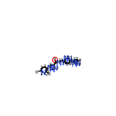 Cc1ccc(-n2cc(C(=O)NCc3ccc(-n4ccnn4)nn3)nn2)c(C)n1